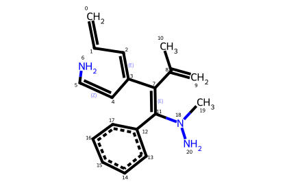 C=C/C=C(\C=C/N)C(/C(=C)C)=C(\c1ccccc1)N(C)N